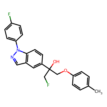 Cc1ccc(OCC(O)(CF)c2ccc3c(cnn3-c3ccc(F)cc3)c2)cc1